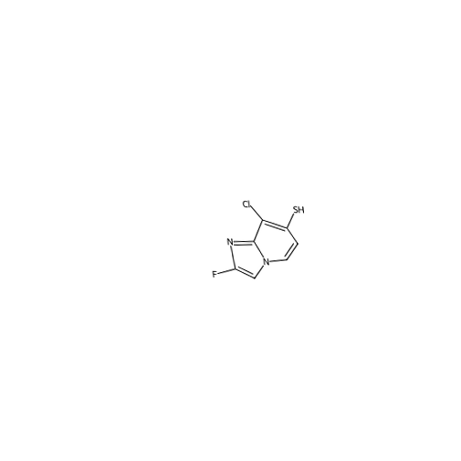 Fc1cn2ccc(S)c(Cl)c2n1